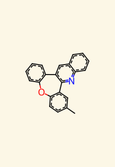 Cc1ccc2c(c1)-c1nc3ccccc3cc1-c1ccccc1O2